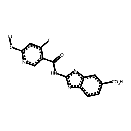 CCOc1cc(F)c(C(=O)Nc2nc3ccc(C(=O)O)cc3s2)cn1